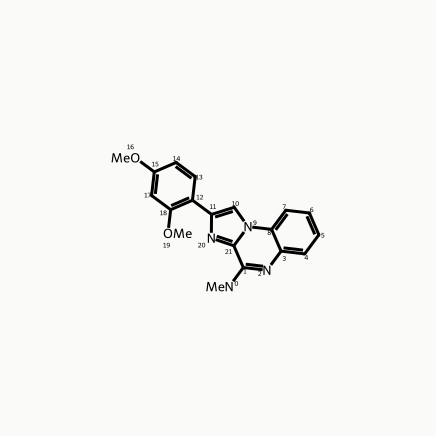 CNc1nc2ccccc2n2cc(-c3ccc(OC)cc3OC)nc12